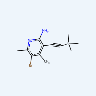 Cc1nc(N)c(C#C[Si](C)(C)C)c(C(F)(F)F)c1Br